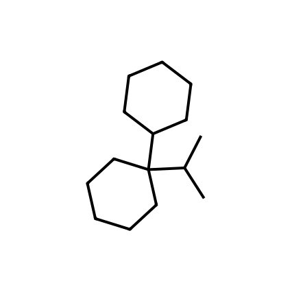 CC(C)C1(C2CCCCC2)CCCCC1